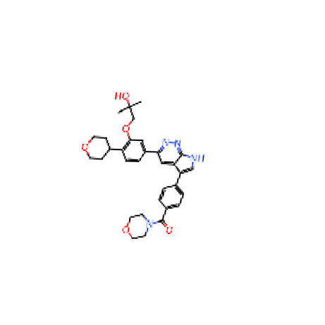 CC(C)(O)COc1cc(-c2cc3c(-c4ccc(C(=O)N5CCOCC5)cc4)c[nH]c3nn2)ccc1C1CCOCC1